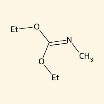 CCOC(=NC)OCC